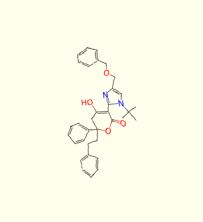 CC(C)(C)n1cc(COCc2ccccc2)nc1C1=C(O)CC(CCc2ccccc2)(c2ccccc2)OC1=O